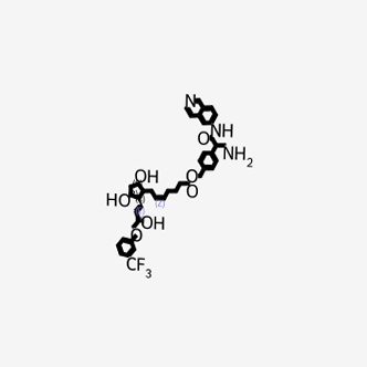 NCC(C(=O)Nc1ccc2cnccc2c1)c1ccc(COC(=O)CCC/C=C\CC2[C@@H](/C=C/[C@@H](O)COc3cccc(C(F)(F)F)c3)[C@H](O)C[C@@H]2O)cc1